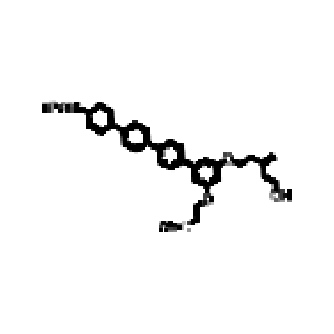 C=C(CCO)CCOc1cc(OCCOC)cc(-c2ccc(-c3ccc(C4=CCC(CCCCC)C=C4)cc3)cc2)c1